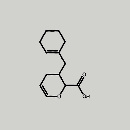 O=C(O)C1OC=CCC1CC1=CCCCC1